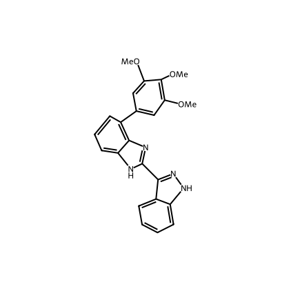 COc1cc(-c2cccc3[nH]c(-c4n[nH]c5ccccc45)nc23)cc(OC)c1OC